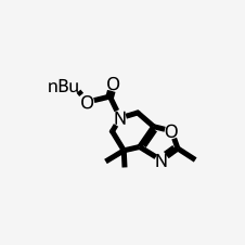 CCCCOC(=O)N1Cc2oc(C)nc2C(C)(C)C1